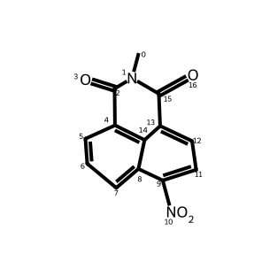 CN1C(=O)c2cccc3c([N+](=O)[O-])ccc(c23)C1=O